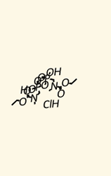 CCOC(=O)N(C)CP(=O)(O)OP(=O)(O)CN(C)C(=O)OCC.Cl